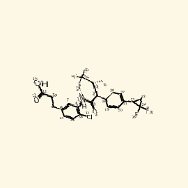 C[C@H]([C@H](C(=O)Nc1cc(CCC(=O)O)ccc1Cl)C1C=CC(C2CC2(F)F)=CC1)C(F)(F)F